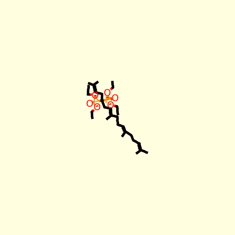 CCOP(=O)(OCC)C(CC=C(C)C)(C/C=C(\C)CC/C=C(\C)CCC=C(C)C)P(=O)(OCC)OCC